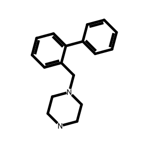 c1ccc(-c2ccccc2CN2CC[N]CC2)cc1